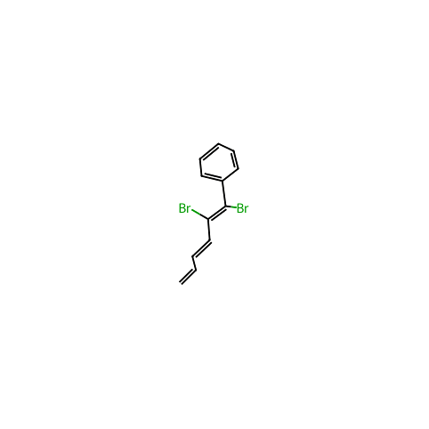 C=CC=CC(Br)=C(Br)c1ccccc1